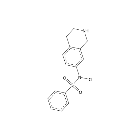 O=S(=O)(c1ccccc1)N(Cl)c1ccc2c(c1)CNCC2